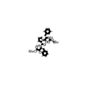 COC(=O)[C@H](O)[C@H](Cc1ccccc1)NC(=O)[C@@H]1CCCN1C(=O)[C@H](Cc1ccccc1)NC(=O)OC(C)(C)C